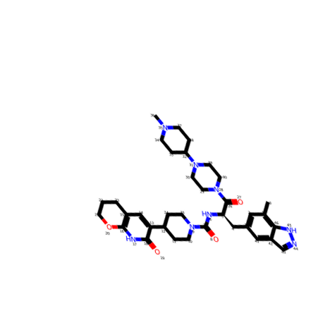 Cc1cc(C[C@@H](NC(=O)N2CCC(c3cc4c([nH]c3=O)OCCC4)CC2)C(=O)N2CCN(C3CCN(C)CC3)CC2)cc2cn[nH]c12